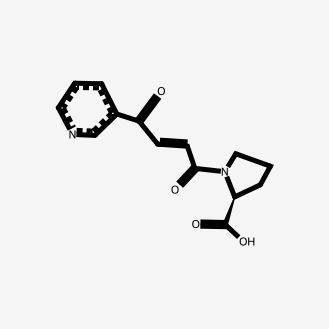 O=C(/C=C/C(=O)N1CCC[C@H]1C(=O)O)c1cccnc1